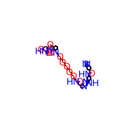 Cn1ncc2cc(C(=O)Nc3ccc4[nH]c(CN5CCC(CC(=O)NCCOCCOCCOCCOCCOCCNc6cccc7c6C(=O)N(C6CCC(=O)NC6=O)C7=O)C5)nc4c3)ccc21